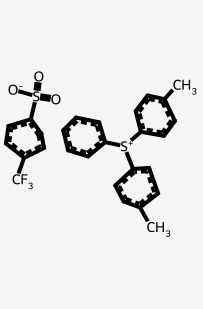 Cc1ccc([S+](c2ccccc2)c2ccc(C)cc2)cc1.O=S(=O)([O-])c1ccc(C(F)(F)F)cc1